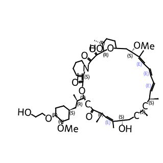 CO[C@H]1CC2CC[C@@H](C)[C@@](O)(O2)C(=O)C(=O)N2CCCC[C@H]2C(=O)O[C@H]([C@H](C)C[C@@H]2CC[C@@H](OCCO)[C@H](OC)C2)CC(=O)[C@H](C)/C=C(\C)[C@@H](O)CC[C@H](C)C[C@H](C)/C=C/C=C/C=C/1C